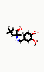 COc1cc(/C=N\C(C)(C=O)CC(C)(C)C)ccc1O